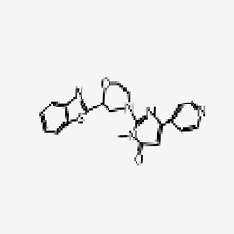 Cn1c(N2CCOC(c3nc4ccccc4s3)C2)nc(-c2ccncc2)cc1=O